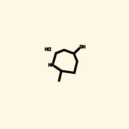 CC1CCC(O)CCN1.Cl